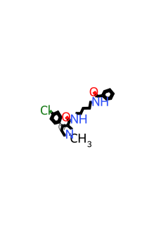 CN1CC[C@H](c2ccc(Cl)cc2)C(C(=O)NCCCCCNC(=O)c2ccccc2)C1